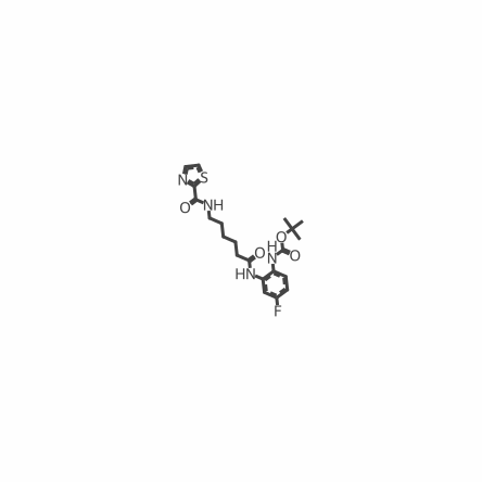 CC(C)(C)OC(=O)Nc1ccc(F)cc1NC(=O)CCCCCNC(=O)c1nccs1